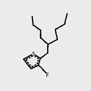 CCCCC(CCCC)Cc1sccc1F